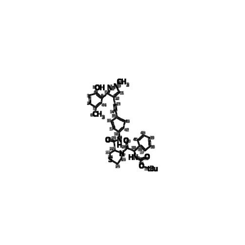 Cc1ccc(O)c(-c2nn(C)cc2C#Cc2ccc(NC(=O)C3CSCCN3C(=O)[C@H](NC(=O)OC(C)(C)C)c3ccccc3)cc2)c1